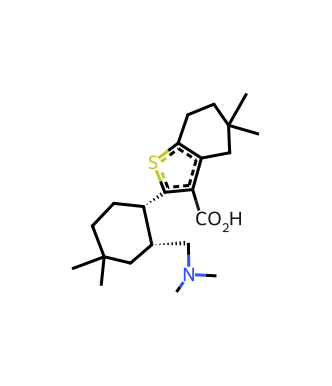 CN(C)C[C@@H]1CC(C)(C)CC[C@@H]1c1sc2c(c1C(=O)O)CC(C)(C)CC2